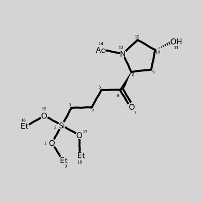 CCO[Si](CCCC(=O)[C@@H]1C[C@@H](O)CN1C(C)=O)(OCC)OCC